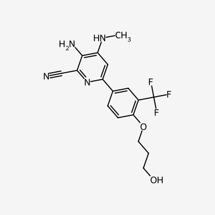 CNc1cc(-c2ccc(OCCCO)c(C(F)(F)F)c2)nc(C#N)c1N